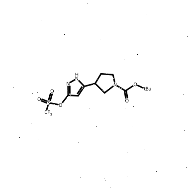 CC(C)(C)OC(=O)N1CCC(c2cc(OS(=O)(=O)C(F)(F)F)n[nH]2)C1